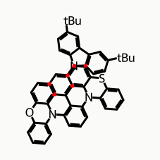 CC(C)(C)c1ccc2c(c1)c1cc(C(C)(C)C)ccc1n2-c1cccc(-c2c(N3c4ccccc4Oc4ccccc43)cccc2N2c3ccccc3Sc3ccccc32)c1